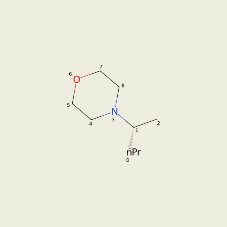 CCC[C@@H](C)N1CCOCC1